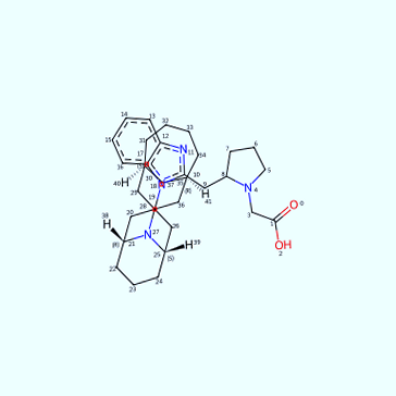 O=C(O)CN1CCCC1Cc1nc2ccccc2n1C1C[C@H]2CCC[C@@H](C1)N2C1C[C@H]2CCCC[C@@H](C1)C2